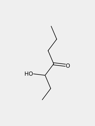 CCCC(=O)C(O)CC